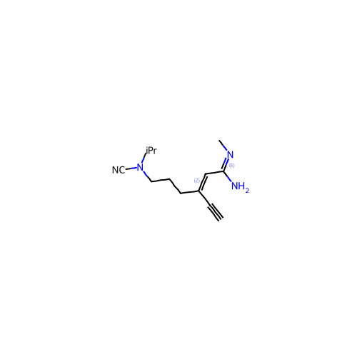 C#C/C(=C\C(N)=N/C)CCCN(C#N)C(C)C